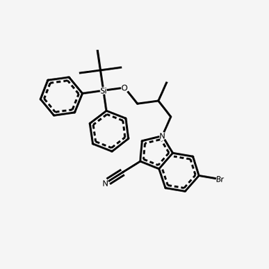 CC(CO[Si](c1ccccc1)(c1ccccc1)C(C)(C)C)Cn1cc(C#N)c2ccc(Br)cc21